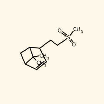 CC1(C)C2C=CC(CCS(C)(=O)=O)C1C2